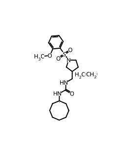 COc1ccccc1S(=O)(=O)N1CCC(CNC(=O)N[C]2CCCCCCC2)C1.[CH2].[CH2]